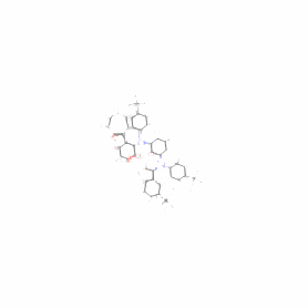 Cc1cc(N(c2ccc(C(C)(C)C)cc2)c2csc3ccc(C(C)(C)C)cc23)c(O)c(N(c2ccc(C(C)(C)C)cc2)c2cccc3oc4c(c23)C=CCC=C4)c1